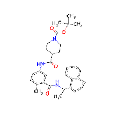 Cc1ccc(NC(=O)C2CCN(C(=O)OC(C)(C)C)CC2)cc1C(=O)NC(C)c1cccc2ccccc12